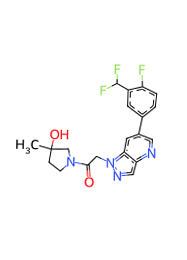 CC1(O)CCN(C(=O)Cn2ncc3ncc(-c4ccc(F)c(C(F)F)c4)cc32)C1